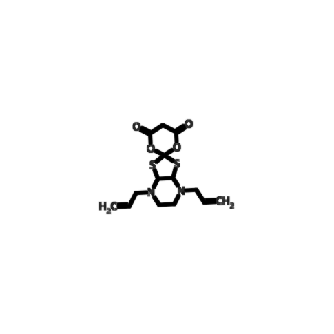 C=CCN1CCN(CC=C)C2SC3(OC(=O)CC(=O)O3)SC21